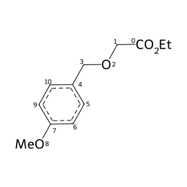 CCOC(=O)COCc1ccc(OC)cc1